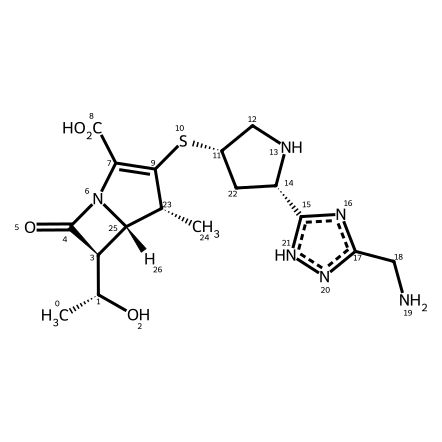 C[C@@H](O)[C@H]1C(=O)N2C(C(=O)O)=C(S[C@@H]3CN[C@H](c4nc(CN)n[nH]4)C3)[C@H](C)[C@H]12